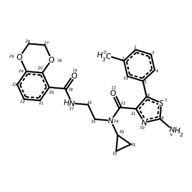 Cc1cccc(-c2sc(N)nc2C(=O)N(CCNC(=O)c2cccc3c2OCCO3)C2CC2)c1